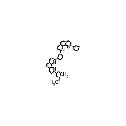 C=C/C(=C\C=C/C)c1ccc2ccc3ccc(-c4cccc(-c5ccc6ccc7ccc(-c8ccccc8)nc7c6n5)c4)nc3c2n1